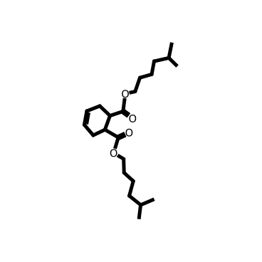 CC(C)CCCCOC(=O)C1CC=CCC1C(=O)OCCCCC(C)C